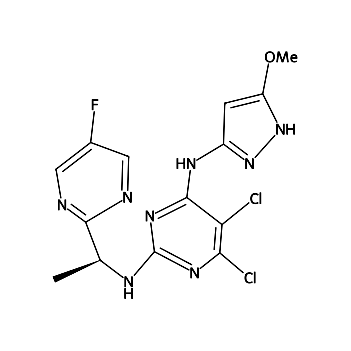 COc1cc(Nc2nc(N[C@@H](C)c3ncc(F)cn3)nc(Cl)c2Cl)n[nH]1